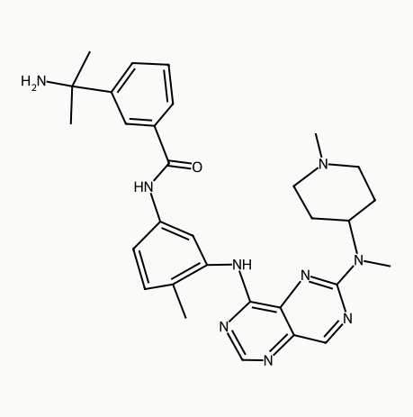 Cc1ccc(NC(=O)c2cccc(C(C)(C)N)c2)cc1Nc1ncnc2cnc(N(C)C3CCN(C)CC3)nc12